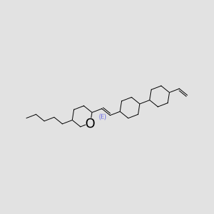 C=CC1CCC(C2CCC(/C=C/C3CCC(CCCCC)CO3)CC2)CC1